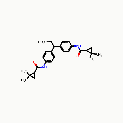 CC1(C)CC1C(=O)Nc1ccc(C(CC(=O)O)c2ccc(NC(=O)C3CC3(C)C)cc2)cc1